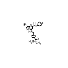 CC(C)c1cnn2c(NCc3nc(C(=O)N(C)C)cs3)cc(NCC3CCNCC3)nc12